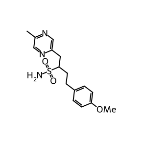 COc1ccc(CCC(Cc2cnc(C)cn2)S(N)(=O)=O)cc1